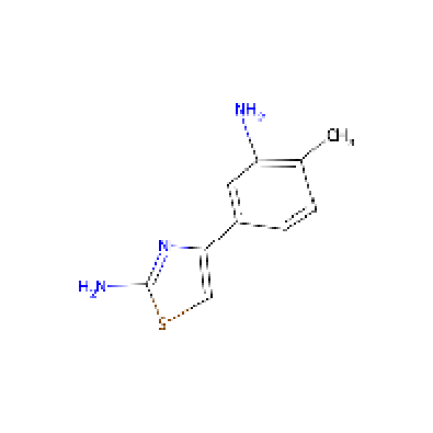 Cc1ccc(-c2csc(N)n2)cc1N